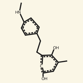 CNc1ccc(CCc2cc(O)cc(C)c2O)cc1